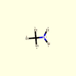 CCN([Si])C(CC)(CC)CC